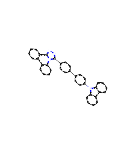 c1ccc2c(c1)c1ccccc1n1c(-c3ccc(-c4ccc(-n5c6ccccc6c6ccccc65)cc4)cc3)nnc21